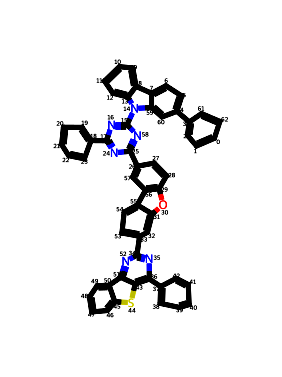 c1ccc(-c2ccc3c4ccccc4n(-c4nc(-c5ccccc5)nc(-c5ccc6oc7cc(-c8nc(-c9ccccc9)c9sc%10ccccc%10c9n8)ccc7c6c5)n4)c3c2)cc1